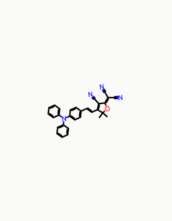 CC1(C)OC(=C(C#N)C#N)C(C#N)=C1C=Cc1ccc(N(c2ccccc2)c2ccccc2)cc1